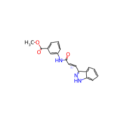 COC(=O)c1cccc(NC(=O)/C=C/c2n[nH]c3ccccc23)c1